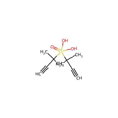 C#CC(C)(C)S(=O)(O)(O)C(C)(C)C#C